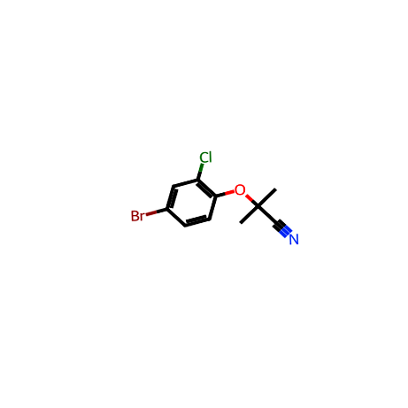 CC(C)(C#N)Oc1ccc(Br)cc1Cl